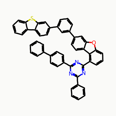 c1ccc(-c2ccc(-c3nc(-c4ccccc4)nc(-c4cccc5oc6cc(-c7cccc(-c8ccc9c(c8)sc8ccccc89)c7)ccc6c45)n3)cc2)cc1